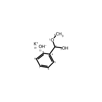 COC(O)c1ccccc1.[K+].[OH-]